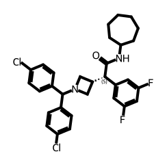 O=C(NC1CCCCCC1)[C@H](c1cc(F)cc(F)c1)C1CN(C(c2ccc(Cl)cc2)c2ccc(Cl)cc2)C1